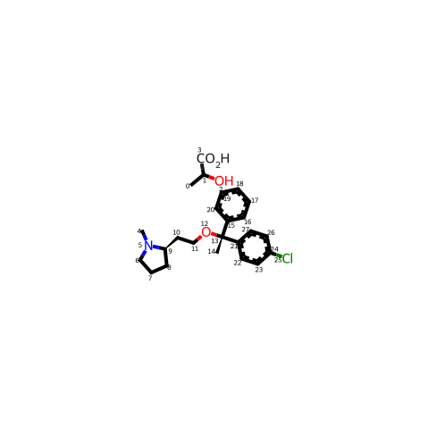 CC(O)C(=O)O.CN1CCC[C@@H]1CCO[C@](C)(c1ccccc1)c1ccc(Cl)cc1